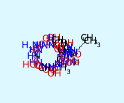 CCC(C)CCCCCCC(=O)NC(Cc1c[nH]c2ccccc12)C(=O)NC(CCC(=O)O)C(=O)NC(CC(=O)O)C(=O)NC1C(=O)NCC(=O)NC(C)C(=O)NC(CC(=O)O)C(=O)NC(C)C(=O)NC(CC(=O)O)C(=O)NCC(=O)NC(CC(N)=O)C(=O)NC(CCC(=O)O)C(=O)NC(C(C)CC)C(=O)OC1C